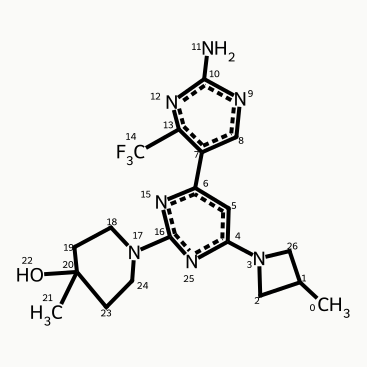 CC1CN(c2cc(-c3cnc(N)nc3C(F)(F)F)nc(N3CCC(C)(O)CC3)n2)C1